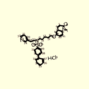 Cl.Cn1c(=O)ccc2cc(OCCCCCN(CCc3cccnc3)S(=O)(=O)c3ccc(-c4ccccc4)cc3)ccc21